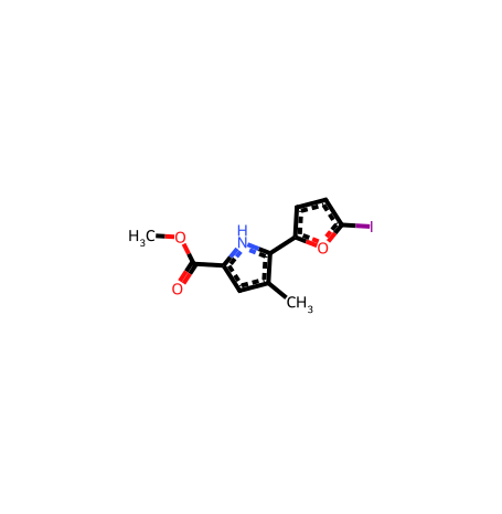 COC(=O)c1cc(C)c(-c2ccc(I)o2)[nH]1